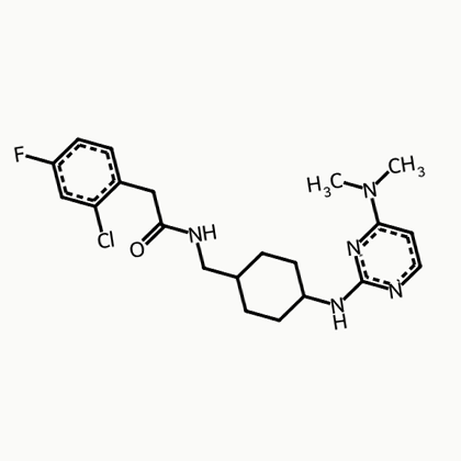 CN(C)c1ccnc(NC2CCC(CNC(=O)Cc3ccc(F)cc3Cl)CC2)n1